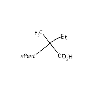 CCCCCC(CC)(C(=O)O)C(F)(F)F